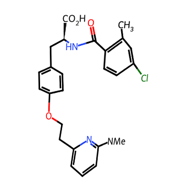 CNc1cccc(CCOc2ccc(C[C@H](NC(=O)c3ccc(Cl)cc3C)C(=O)O)cc2)n1